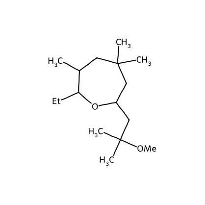 CCC1OC(CC(C)(C)OC)CC(C)(C)CC1C